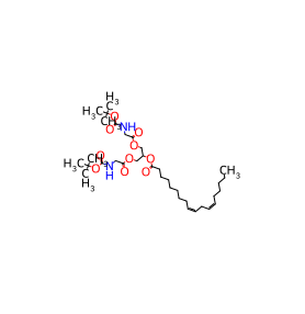 CCCCC/C=C\C/C=C\CCCCCCCC(=O)OC(COC(=O)CNC(=O)OC(C)(C)C)COC(=O)CNC(=O)OC(C)(C)C